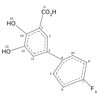 O=C(O)c1cc(-c2ccc(F)cc2)cc(O)c1O